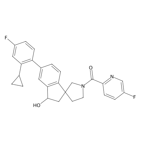 O=C(c1ccc(F)cn1)N1CCC2(CC(O)c3cc(-c4ccc(F)cc4C4CC4)ccc32)C1